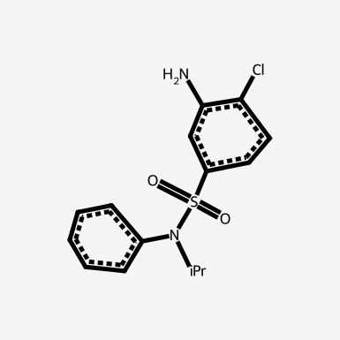 CC(C)N(c1ccccc1)S(=O)(=O)c1ccc(Cl)c(N)c1